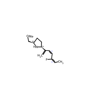 C=C(/C=C\C(F)=C/C)[C@@H]1CC[C@H](COC)N1